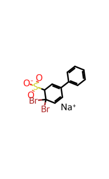 O=S(=O)([O-])C1C=C(c2ccccc2)C=CC1(Br)Br.[Na+]